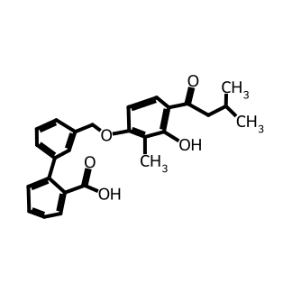 Cc1c(OCc2cccc(-c3ccccc3C(=O)O)c2)ccc(C(=O)CC(C)C)c1O